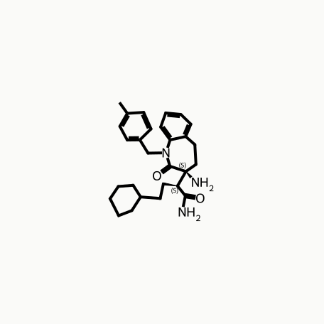 Cc1ccc(CN2C(=O)[C@@](N)([C@H](CCC3CCCCC3)C(N)=O)CCc3ccccc32)cc1